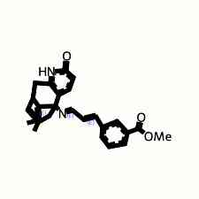 C/C=C1\C2C=C(C)CC1(/N=C/C=C/c1cccc(C(=O)OC)c1)c1ccc(=O)[nH]c1C2